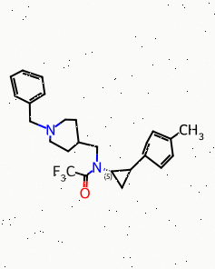 Cc1ccc(C2C[C@@H]2N(CC2CCN(Cc3ccccc3)CC2)C(=O)C(F)(F)F)cc1